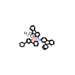 CC1(C)c2ccccc2-c2ccc(N(c3ccc4c(c3)C3(CC5CCC3C5)c3ccccc3-4)c3cccc4c3oc3ccc(C5CCCCC5)cc34)cc21